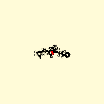 N=C1NC2C(CNC(=O)c3cc(=O)[nH]c(=O)[nH]3)NC(=N)N3CC(NC(=O)c4coc5ccccc5c4=O)C(O)(O)C23N1